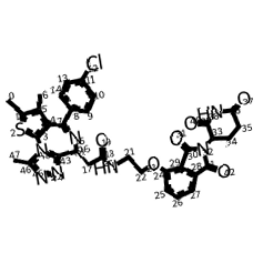 Cc1sc2c(c1C)C(c1ccc(Cl)cc1)=N[C@@H](CC(=O)NCCOc1cccc3c1C(=O)N(C1CCC(=O)NC1=O)C3=O)c1nnc(C)n1-2